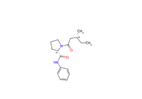 CC[C@@H](C)CC(=O)N1CCC[C@H]1C(=O)Nc1ccccc1